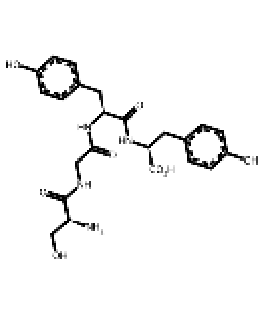 N[C@@H](CO)C(=O)NCC(=O)N[C@@H](Cc1ccc(O)cc1)C(=O)N[C@@H](Cc1ccc(O)cc1)C(=O)O